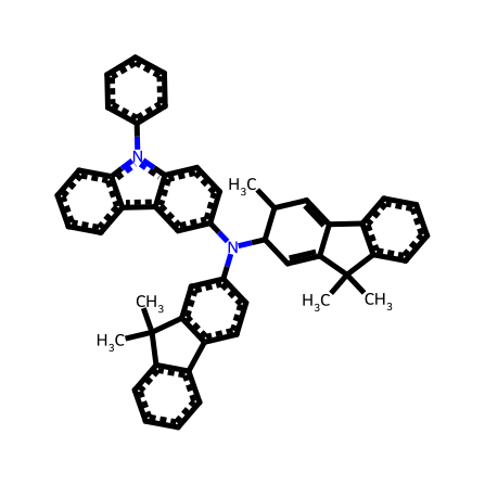 CC1C=C2C(=CC1N(c1ccc3c(c1)C(C)(C)c1ccccc1-3)c1ccc3c(c1)c1ccccc1n3-c1ccccc1)C(C)(C)c1ccccc12